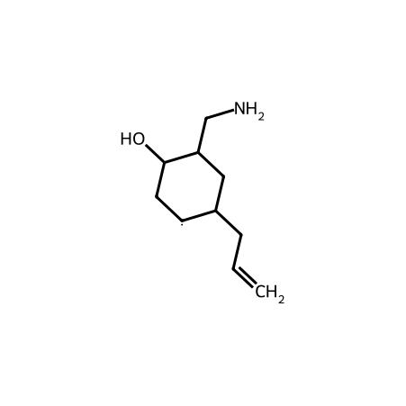 C=CCC1[CH]CC(O)C(CN)C1